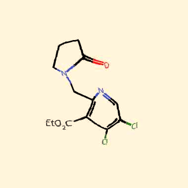 CCOC(=O)c1c(CN2CCCC2=O)ncc(Cl)c1Cl